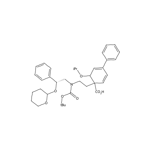 CC(C)OC1C=C(c2ccccc2)C=CC1(CCN(C[C@H](OC1CCCCO1)c1ccccc1)C(=O)OC(C)(C)C)C(=O)O